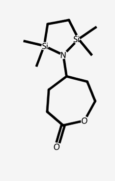 C[Si]1(C)CC[Si](C)(C)N1C1CCOC(=O)CC1